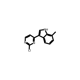 Cc1cccc2c(-c3ccnc(Cl)n3)c[nH]c12